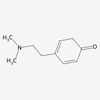 CN(C)CCC1=CCC(=O)C=C1